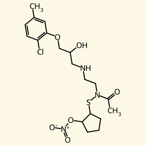 CC(=O)N(CCNCC(O)COc1cc(C)ccc1Cl)SC1CCCC1O[N+](=O)[O-]